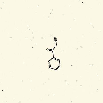 [C]#CCC(=O)c1ccccc1